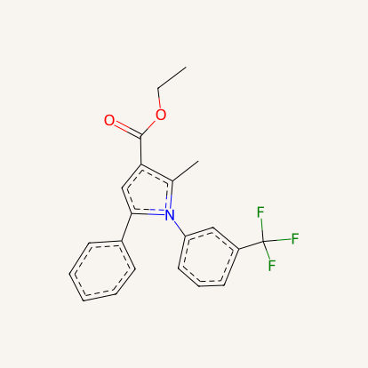 CCOC(=O)c1cc(-c2ccccc2)n(-c2cccc(C(F)(F)F)c2)c1C